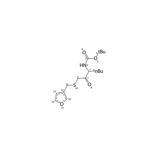 CCCCC(NC(=O)OC(C)(C)C)C(=O)CSCc1ccoc1